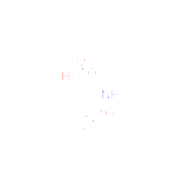 O=C(O)OC1CCCCC1CCNCC(=O)c1ccsc1